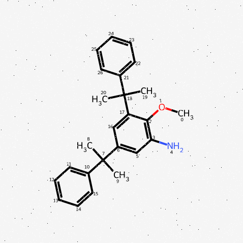 COc1c(N)cc(C(C)(C)c2ccccc2)cc1C(C)(C)c1ccccc1